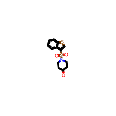 O=C1CCN(S(=O)(=O)c2csc3ccccc23)CC1